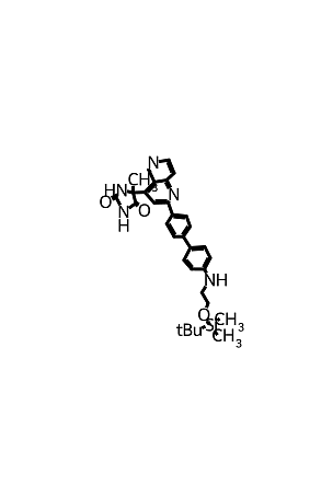 CC1(c2cc(-c3ccc(-c4ccc(NCCO[Si](C)(C)C(C)(C)C)cc4)cc3)nc3ccncc23)NC(=O)NC1=O